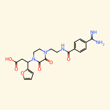 N=C(N)c1ccc(C(=O)NCCN2CCN(C(CC(=O)O)c3ccco3)C(=O)C2=O)cc1